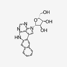 OC[C@H]1O[C@@H](n2cc3c4c(ncnc42)Nc2cc4ccccc4cc2-3)[C@H](O)[C@@H]1O